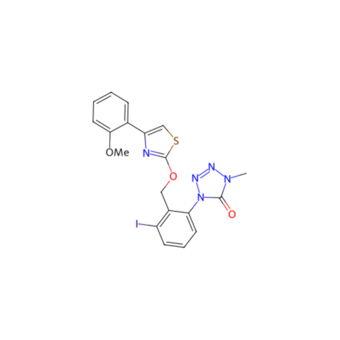 COc1ccccc1-c1csc(OCc2c(I)cccc2-n2nnn(C)c2=O)n1